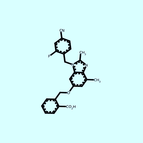 Cc1cc(OCc2ccccc2C(=O)O)cc2c1nc(C)n2Cc1ccc(C#N)cc1F